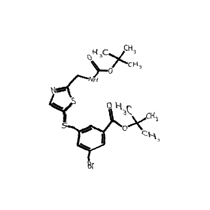 CC(C)(C)OC(=O)NCc1ncc(Sc2cc(Br)cc(C(=O)OC(C)(C)C)c2)s1